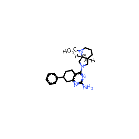 Nc1nc2c(c(N3C[C@H]4CCCN(C(=O)O)[C@H]4C3)n1)CCC(c1ccccc1)C2